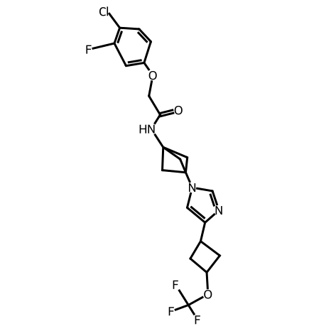 O=C(COc1ccc(Cl)c(F)c1)NC12CC(n3cnc(C4CC(OC(F)(F)F)C4)c3)(C1)C2